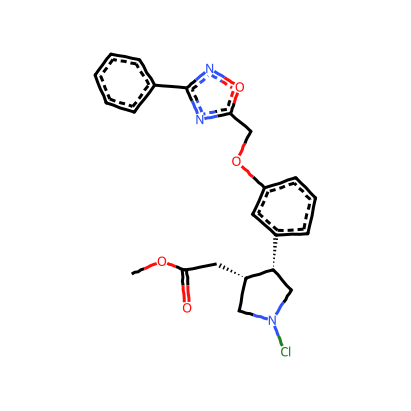 COC(=O)C[C@H]1CN(Cl)C[C@H]1c1cccc(OCc2nc(-c3ccccc3)no2)c1